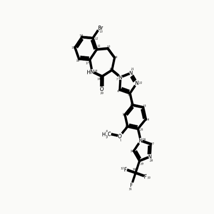 COc1cc(-c2cn(C3CCc4c(Br)cccc4NC3=O)nn2)ccc1-n1cnc(C(F)(F)F)c1